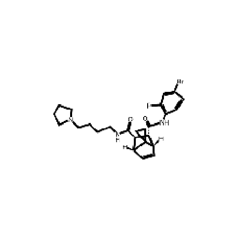 O=C(NCCCCN1CCCC1)[C@H]1[C@H](C(=O)Nc2ccc(Br)cc2F)[C@@H]2C=C[C@H]1C21CC1